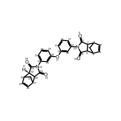 O=C1C2C3C=CC(C3)C2C(=O)N1c1cccc(Oc2cccc(N3C(=O)C4C5C=CC(C5)[C@@H]4C3=O)c2)c1